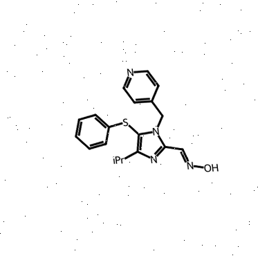 CC(C)c1nc(C=NO)n(Cc2ccncc2)c1Sc1ccccc1